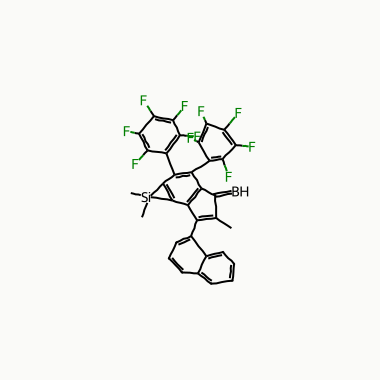 B=C1C(C)=C(c2cccc3ccccc23)c2c1c(-c1c(F)c(F)c(F)c(F)c1F)c(-c1c(F)c(F)c(F)c(F)c1F)c1c2[Si]1(C)C